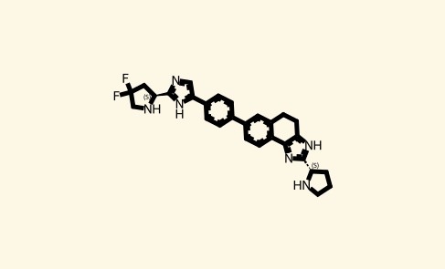 FC1(F)CN[C@H](c2ncc(-c3ccc(-c4ccc5c(c4)CCc4[nH]c([C@@H]6CCCN6)nc4-5)cc3)[nH]2)C1